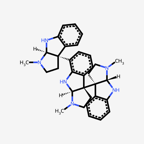 CN1CC[C@]2(c3cccc4c3N[C@@H]3N(C)CC[C@]43[C@@]34CCN(C)[C@@H]3Nc3ccccc34)c3ccccc3N[C@H]12